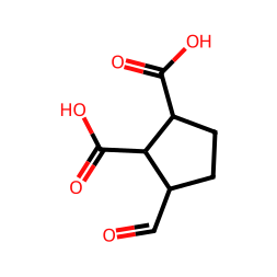 O=CC1CCC(C(=O)O)C1C(=O)O